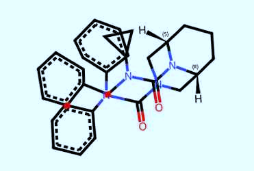 O=C(N1C[C@H]2CCC[C@@H](C1)N2C(=O)N(Cc1ccccc1)C1CC1)N(c1ccccc1)c1ccccc1